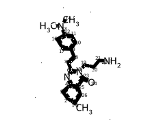 Cc1ccc2nc(C=Cc3ccc(N(C)C)cc3)n(CCCN)c(=O)c2c1